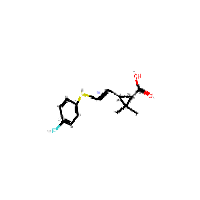 CC1(C)[C@H](C(=O)O)[C@@H]1/C=C/Sc1ccc(F)cc1